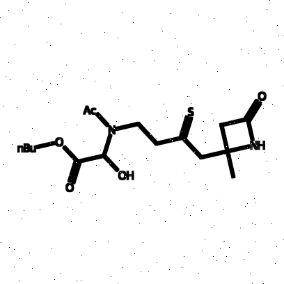 CCCCOC(=O)C(O)N(CCC(=S)CC1(C)CC(=O)N1)C(C)=O